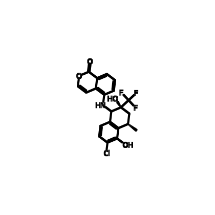 C[C@@H]1C[C@@](O)(C(F)(F)F)C(Nc2cccc3c(=O)occc23)c2ccc(Cl)c(O)c21